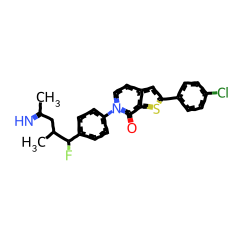 CC(=N)CC(C)C(F)c1ccc(-n2ccc3cc(-c4ccc(Cl)cc4)sc3c2=O)cc1